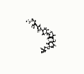 COC(=O)C1CN(c2ccc(N3CC[C@@H](Oc4ccc(OCC(F)(F)F)nc4)C3=O)cn2)C1